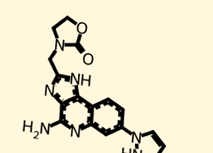 Nc1nc2cc(N3C=CCN3)ccc2c2[nH]c(CN3CCOC3=O)nc12